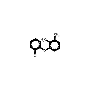 Cc1cccc(Oc2c[c]ccc2Cl)c1C